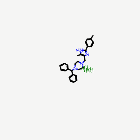 Cc1ccc(-c2nc(CN3CCN(C(c4ccccc4)c4ccccc4)CC3)c(C)[nH]2)cc1.Cl.Cl.Cl